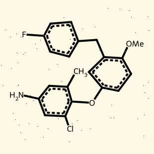 COc1ccc(Oc2c(C)cc(N)cc2Cl)cc1Cc1ccc(F)cc1